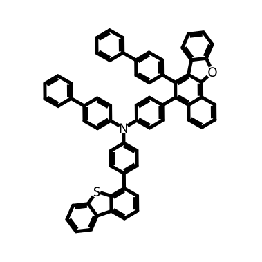 c1ccc(-c2ccc(-c3c(-c4ccc(N(c5ccc(-c6ccccc6)cc5)c5ccc(-c6cccc7c6sc6ccccc67)cc5)cc4)c4ccccc4c4oc5ccccc5c34)cc2)cc1